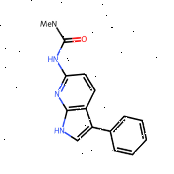 CNC(=O)Nc1ccc2c(-c3[c]cccc3)c[nH]c2n1